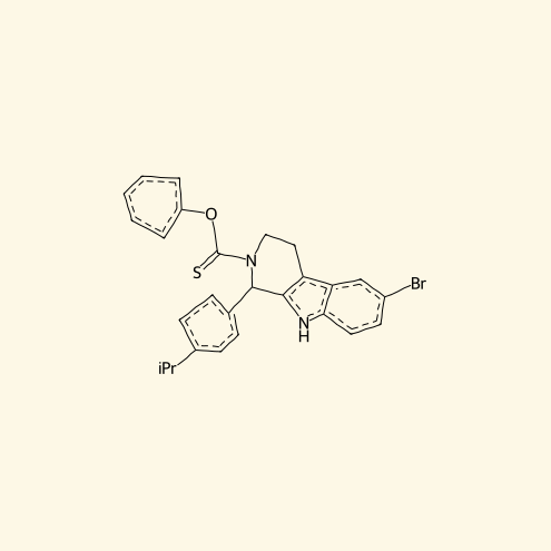 CC(C)c1ccc(C2c3[nH]c4ccc(Br)cc4c3CCN2C(=S)Oc2ccccc2)cc1